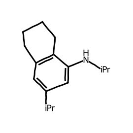 CC(C)Nc1cc(C(C)C)cc2c1CCCC2